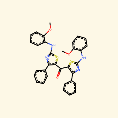 COc1ccccc1Nc1nc(-c2ccccc2)c(C(=O)c2sc(Nc3ccccc3OC)nc2-c2ccccc2)s1